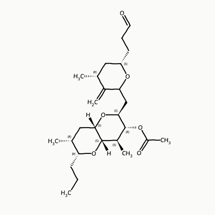 C=C1C(C[C@@H]2O[C@H]3C[C@@H](C)[C@@H](CCC)O[C@H]3[C@H](C)[C@H]2OC(C)=O)O[C@@H](CCC=O)C[C@H]1C